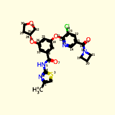 Cc1csc(NC(=O)c2cc(Oc3ncc(C(=O)N4CCC4)cc3Cl)cc(O[C@H]3CCOC3)c2)n1